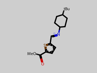 COC(=O)c1ccc(/C=N/C2CCC(C(C)(C)C)CC2)s1